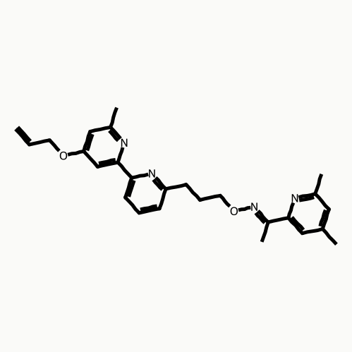 C=CCOc1cc(C)nc(-c2cccc(CCCO/N=C(\C)c3cc(C)cc(C)n3)n2)c1